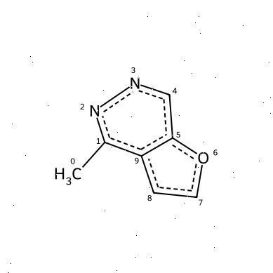 Cc1nncc2occc12